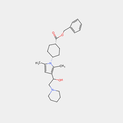 Cc1cc(C(O)CN2CCCCC2)c(C)n1[C@H]1CC[C@@H](C(=O)OCc2ccccc2)CC1